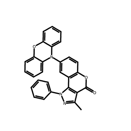 Cc1nn(-c2ccccc2)c2c1c(=O)oc1ccc(N3c4ccccc4Oc4ccccc43)cc12